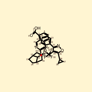 O=C(O)c1cccc2nc(NC3C4CCC3CC(OCc3c(-c5ccccc5OC(F)(F)F)noc3C3CC3)C4)ncc12